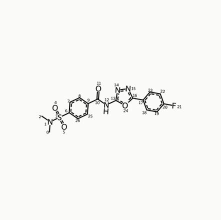 CN(C)S(=O)(=O)c1ccc(C(=O)Nc2nnc(-c3ccc(F)cc3)o2)cc1